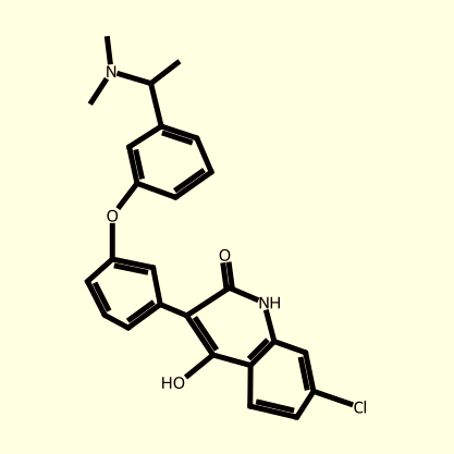 CC(c1cccc(Oc2cccc(-c3c(O)c4ccc(Cl)cc4[nH]c3=O)c2)c1)N(C)C